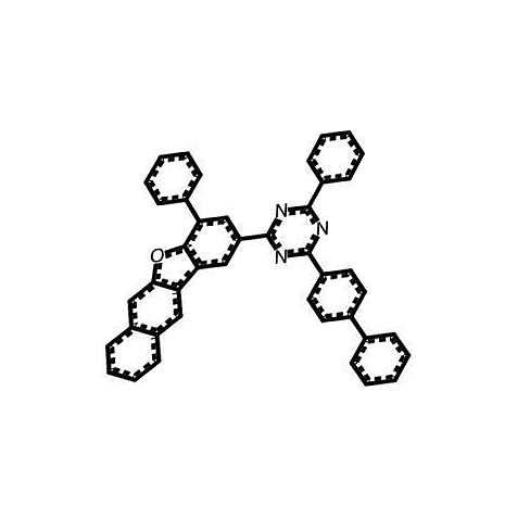 c1ccc(-c2ccc(-c3nc(-c4ccccc4)nc(-c4cc(-c5ccccc5)c5oc6cc7ccccc7cc6c5c4)n3)cc2)cc1